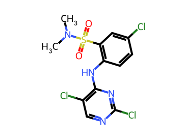 CN(C)S(=O)(=O)c1cc(Cl)ccc1Nc1nc(Cl)ncc1Cl